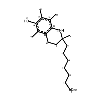 CCCCCCCCCCCCCCCCC1(C)CCc2c(C)c(O)c(C)c(C)c2N1